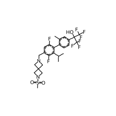 Cc1cc(C(O)(C(F)(F)F)C(F)(F)F)ccc1-c1c(F)cc(CN2CC3(C2)CN(S(C)(=O)=O)C3)c(F)c1C(C)C